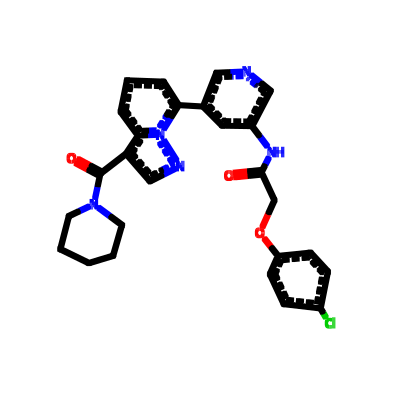 O=C(COc1ccc(Cl)cc1)Nc1cncc(-c2cccc3c(C(=O)N4CCCCC4)cnn23)c1